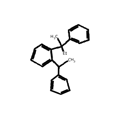 CCC(C)(c1ccccc1)c1ccccc1C(C)c1ccccc1